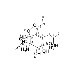 CCCC1=C(CC(C)O)C(O)(O)C(O)C(N)([N+](=O)[O-])C1(N)OO